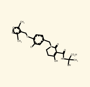 CCCC(C)(NC(=O)C1=C(O)CCN(Cc2ccc(OCc3c(C)noc3C)c(Cl)c2)C1=O)C(=O)O